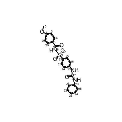 COc1ccc(C(=O)NS(=O)(=O)c2ccc(NC(=O)Nc3ccccc3)cc2)cc1